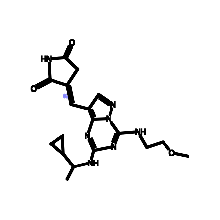 COCCNc1nc(NC(C)C2CC2)nc2c(/C=C3\CC(=O)NC3=O)cnn12